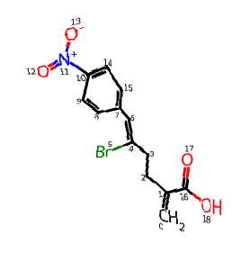 C=C(CCC(Br)=Cc1ccc([N+](=O)[O-])cc1)C(=O)O